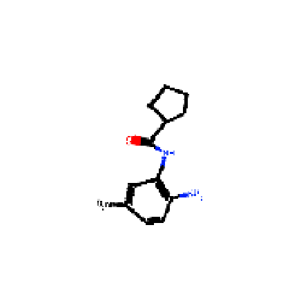 Nc1ccc([N+](=O)[O-])cc1NC(=O)C1CCCC1